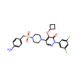 Nc1ccc(CS(=O)(=O)N2CCN(c3cnn(-c4cc(F)cc(F)c4)c(=O)c3OC3CCC3)CC2)cc1